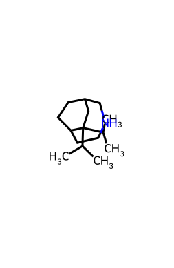 CC(C)C1(C(C)C)CC2CCC1CCNC2